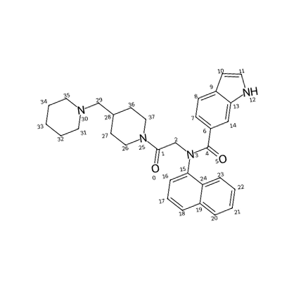 O=C(CN(C(=O)c1ccc2cc[nH]c2c1)c1cccc2ccccc12)N1CCC(CN2CCCCC2)CC1